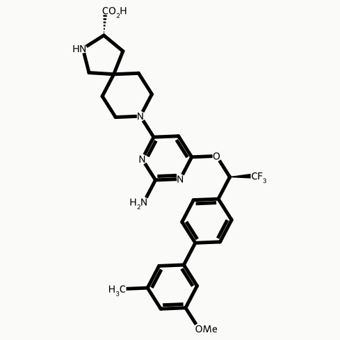 COc1cc(C)cc(-c2ccc([C@@H](Oc3cc(N4CCC5(CC4)CN[C@H](C(=O)O)C5)nc(N)n3)C(F)(F)F)cc2)c1